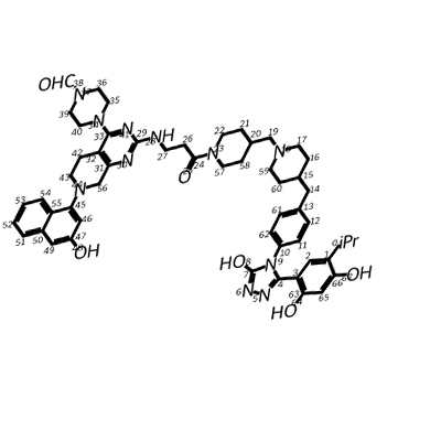 CC(C)c1cc(-c2nnc(O)n2-c2ccc(CC3CCN(CC4CCN(C(=O)CCNc5nc6c(c(N7CCN(C=O)CC7)n5)CCN(c5cc(O)cc7ccccc57)C6)CC4)CC3)cc2)c(O)cc1O